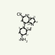 Nc1ccc(-c2cc(Cl)nn3ccnc23)c(F)c1